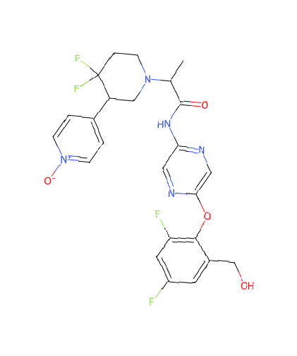 CC(C(=O)Nc1cnc(Oc2c(F)cc(F)cc2CO)cn1)N1CCC(F)(F)C(c2cc[n+]([O-])cc2)C1